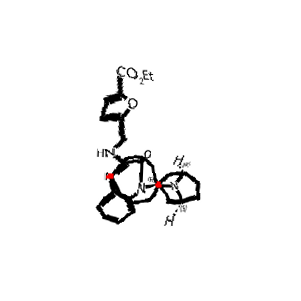 CCOC(=O)c1ccc(CNc2nc3ccccc3n([C@H]3C[C@H]4CC[C@@H](C3)N4C3CCCCCCC3)c2=O)o1